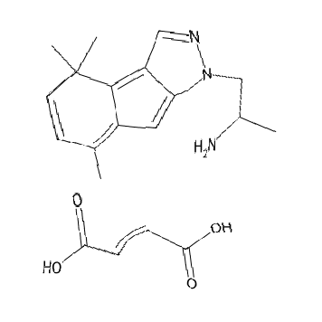 CC1=C2C=c3c(cnn3CC(C)N)=C2C(C)(C)C=C1.O=C(O)C=CC(=O)O